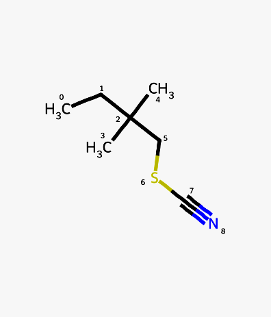 CCC(C)(C)CSC#N